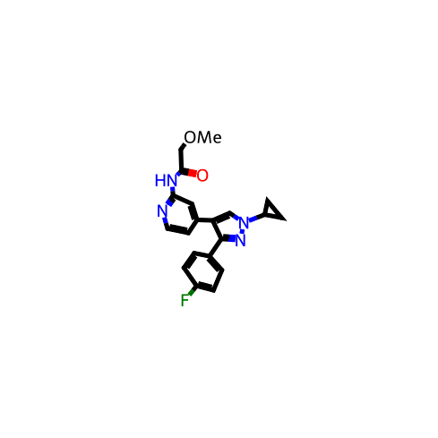 COCC(=O)Nc1cc(-c2cn(C3CC3)nc2-c2ccc(F)cc2)ccn1